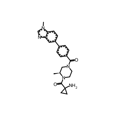 C[C@H]1CN(C(=O)c2ccc(-c3ccc4c(c3)ncn4C)cc2)CCN1C(=O)C1(N)CC1